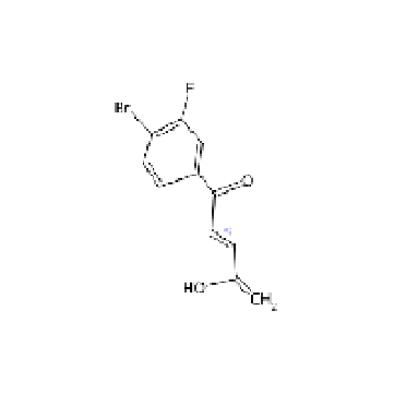 C=C(O)/C=C/C(=O)c1ccc(Br)c(F)c1